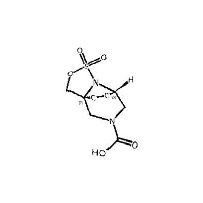 O=C(O)N1C[C@@H]2CC[C@]3(COS(=O)(=O)N23)C1